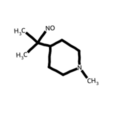 CN1CCC(C(C)(C)N=O)CC1